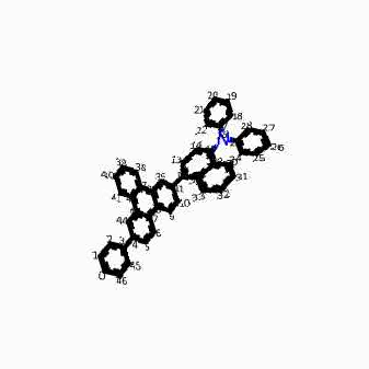 c1ccc(-c2ccc3c4ccc(-c5ccc(N(c6ccccc6)c6ccccc6)c6ccccc56)cc4c4ccccc4c3c2)cc1